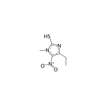 CCc1nc(S)n(C)c1[N+](=O)[O-]